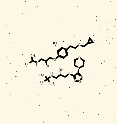 CC(C)(C)NC[C@H](O)COc1nsnc1N1CCOCC1.CC(C)NCC(O)COc1ccc(CCOCC2CC2)cc1.Cl